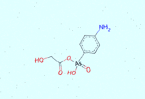 Nc1ccc([As](=O)(O)OC(=O)CO)cc1